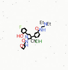 CCN(CC)CCNC(=O)c1cccc(-c2cc(-c3ccc(F)cc3O)nc(NC(=O)c3ccco3)c2C#N)c1.Cl